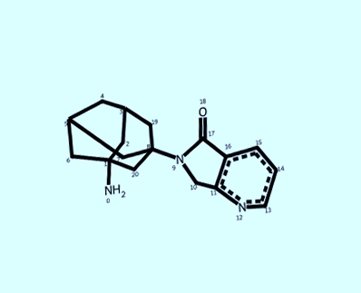 NC12CC3CC(C1)CC(N1Cc4ncccc4C1=O)(C3)C2